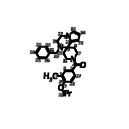 Cc1cc(C(=O)N2CCC3(CC2)c2cccn2CCN3Cc2ccccc2)ccc1OC(C)C